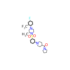 C[C@@H]1CN(c2ccc(F)cc2C(F)(F)F)CCN1S(=O)(=O)c1cccc(N2CCC(C(=O)N3CCCC3)CC2)c1